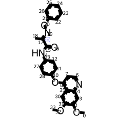 COc1cc2nccc(Oc3ccc(NC(=O)/C(C)=N/Oc4ccccc4)cc3)c2cc1OC